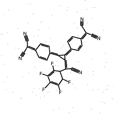 N#CC(=C1C(=c2ccc(=C(C#N)C#N)cc2)C1=c1ccc(=C(C#N)C#N)cc1)C1C(F)=C(F)C(F)=C(F)C1F